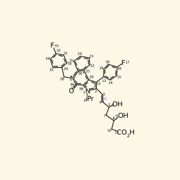 CC(C)n1c(/C=C/C(O)CC(O)CC(=O)O)c(-c2ccc(F)cc2)c2c3ccccc3n(Cc3ccc(F)cc3)c(=O)c21